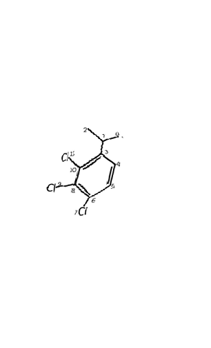 [CH2]C(C)c1ccc(Cl)c(Cl)c1Cl